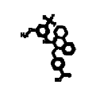 COc1cc(NC(=O)N(Cc2ccc(C(=O)O)cc2)c2ccccc2C2CCCCC2)cc(C(F)(F)F)c1